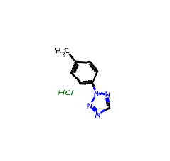 Cc1ccc(-n2ncnn2)cc1.Cl